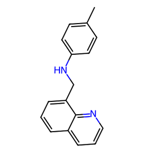 Cc1ccc(NCc2cccc3cccnc23)cc1